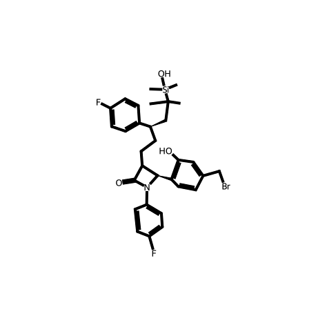 CC(C)(C[C@@H](CCC1C(=O)N(c2ccc(F)cc2)[C@@H]1c1ccc(CBr)cc1O)c1ccc(F)cc1)[Si](C)(C)O